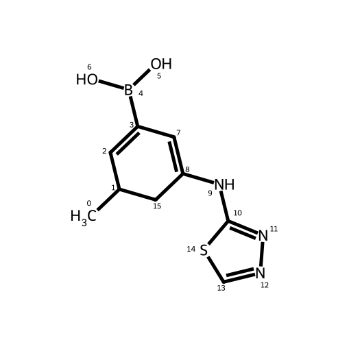 CC1C=C(B(O)O)C=C(Nc2nncs2)C1